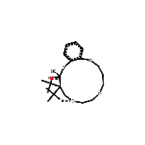 CCCCCC(C)(C)C1(C(C)(C)CCCCC)COCCOCCCOc2ccccc2OC1(O)O